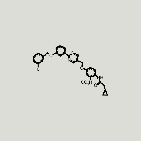 O=C(CC1CC1)Nc1ccc(OCc2cnc(-c3cccc(OCc4cccc(Cl)c4)c3)nc2)cc1C(=O)O